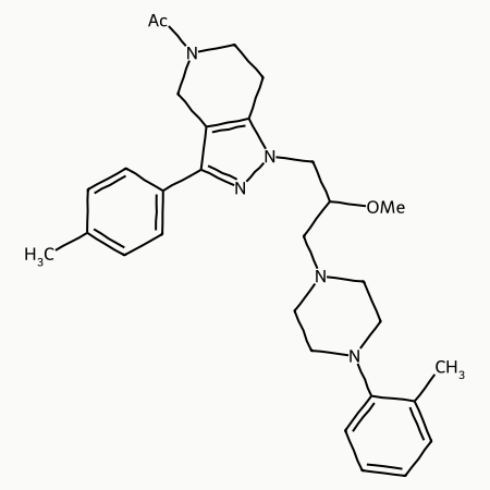 COC(CN1CCN(c2ccccc2C)CC1)Cn1nc(-c2ccc(C)cc2)c2c1CCN(C(C)=O)C2